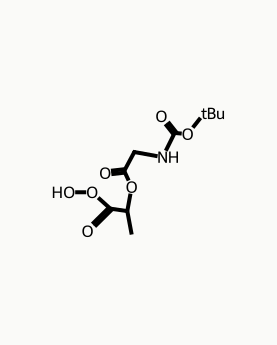 CC(OC(=O)CNC(=O)OC(C)(C)C)C(=O)OO